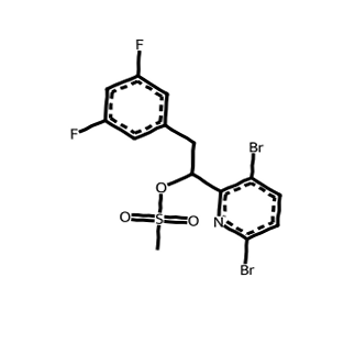 CS(=O)(=O)OC(Cc1cc(F)cc(F)c1)c1nc(Br)ccc1Br